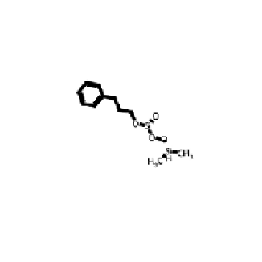 C[SiH](C)OO[Si](=O)OCCCc1ccccc1